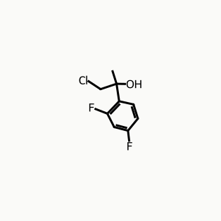 CC(O)(CCl)c1ccc(F)cc1F